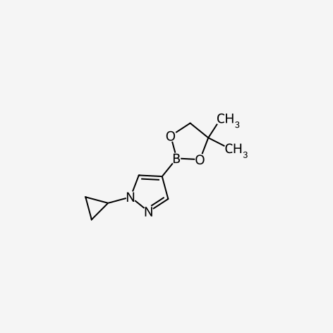 CC1(C)COB(c2cnn(C3CC3)c2)O1